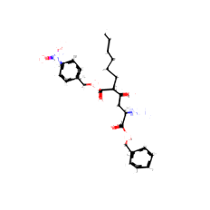 CCCCCCC(C(=O)CC(N)C(=O)OCc1ccccc1)C(=O)OCc1ccc([N+](=O)[O-])cc1